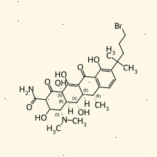 C[C@H]1c2ccc(C(C)(C)CCCBr)c(O)c2C(=O)C2=C(O)[C@]3(O)C(=O)C(C(N)=O)C(O)[C@@H](N(C)C)[C@@H]3[C@@H](O)[C@@H]21